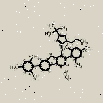 CCCC1C=C(C(C)(C)C)C=[C]1[Zr+2][c]1c(-c2c(C)cc(C)cc2C)ccc2c1Cc1cc(-c3c(C)cc(C)cc3C)ccc1-2.[Cl-].[Cl-]